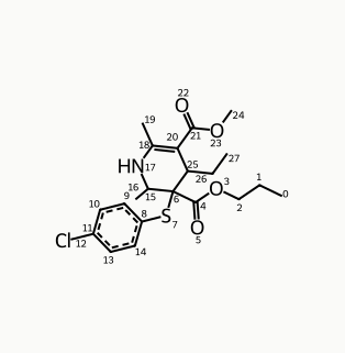 CCCOC(=O)C1(Sc2ccc(Cl)cc2)C(C)NC(C)=C(C(=O)OC)C1CC